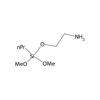 CCC[Si](OC)(OC)OCCN